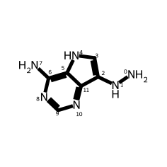 NNc1c[nH]c2c(N)ncnc12